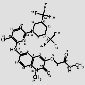 CNC(=O)COc1cc2cc(Nc3nc(N4C[C@@H](C(F)(F)F)C[C@H](C(F)(F)F)C4)ncc3Cl)ccc2n(C)c1=O